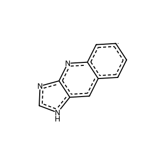 [c]1ccc2cc3[nH]cnc3nc2c1